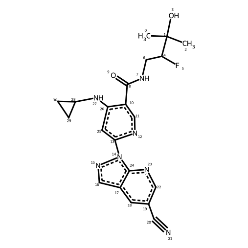 CC(C)(O)C(F)CNC(=O)c1cnc(-n2ncc3cc(C#N)cnc32)cc1NC1CC1